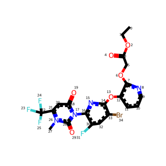 CCOC(=O)COc1ncccc1Oc1nc(-n2c(=O)cc(C(F)(F)F)n(C)c2=O)c(F)cc1Br